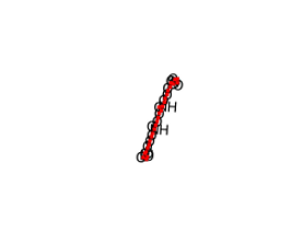 O=C(CCOCCCOCCC(=O)NCCOCCOCCOCCC(=O)ON1C(=O)CCC1=O)NCCOCCOCCOCCC(=O)ON1C(=O)CCC1=O